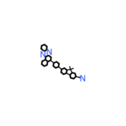 CC1(C)c2cc(C#N)ccc2-c2ccc(-c3ccc(-c4cc5nc6ccccc6nc5c5ccccc45)cc3)cc21